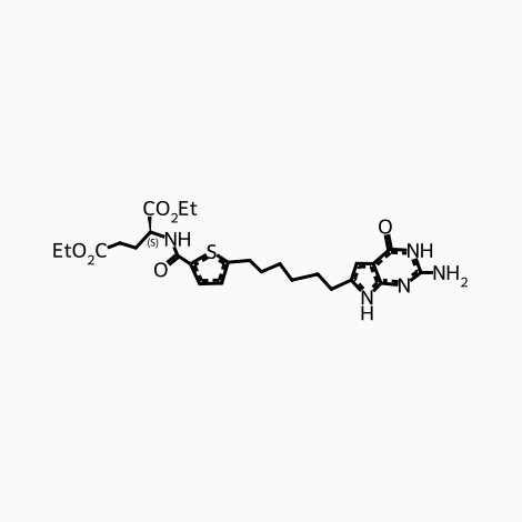 CCOC(=O)CC[C@H](NC(=O)c1ccc(CCCCCCc2cc3c(=O)[nH]c(N)nc3[nH]2)s1)C(=O)OCC